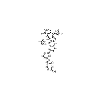 COC(=O)c1cc(-c2ccn(C)n2)c2nc(CN3CCN(c4cccc(OCc5ccc(C#N)cc5F)n4)CC3)n(C[C@@H]3CCO3)c2c1